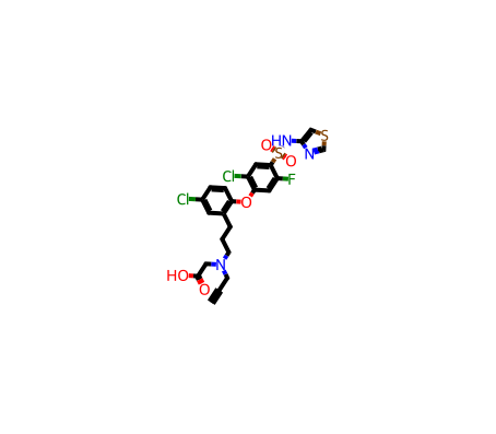 C#CCN(CCCc1cc(Cl)ccc1Oc1cc(F)c(S(=O)(=O)Nc2cscn2)cc1Cl)CC(=O)O